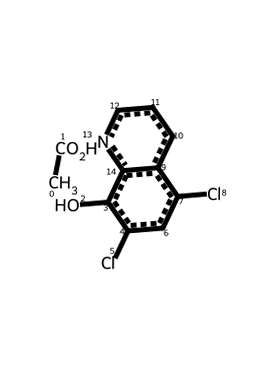 CC(=O)O.Oc1c(Cl)cc(Cl)c2cccnc12